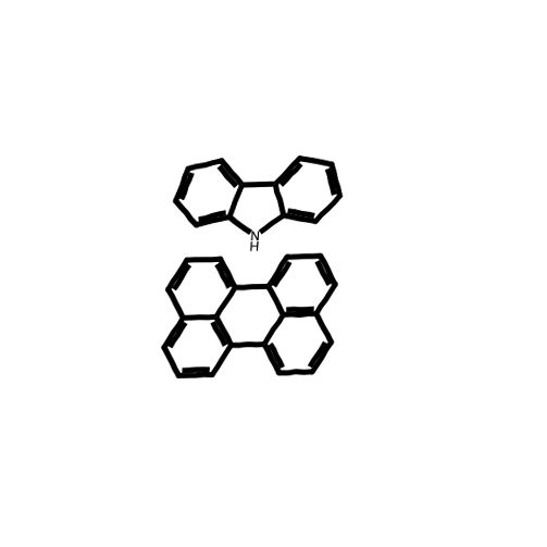 c1cc2cccc3c4cccc5cccc(c(c1)c23)c54.c1ccc2c(c1)[nH]c1ccccc12